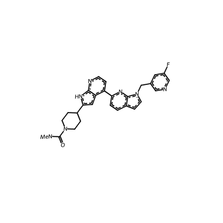 CNC(=O)N1CCC(c2cc3c(-c4ccc5ccn(Cc6cncc(F)c6)c5n4)ccnc3[nH]2)CC1